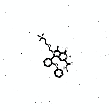 CNC(=O)c1cc2c(-c3ccccc3Oc3ccccc3)n(COCC[Si](C)(C)C)c(C)c2c(=O)[nH]1